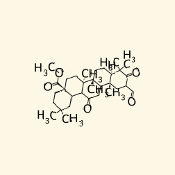 COC(=O)[C@]12CCC(C)(C)CC1C1C(=O)C=C3[C@@]4(C)CC(C=O)C(=O)C(C)(C)[C@@H]4CC[C@@]3(C)[C@]1(C)CC2